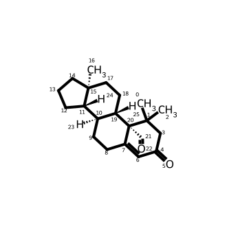 CC1(C)CC(=O)C=C2CC[C@H]3[C@@H]4CCC[C@@]4(C)CC[C@@H]3[C@]21C=O